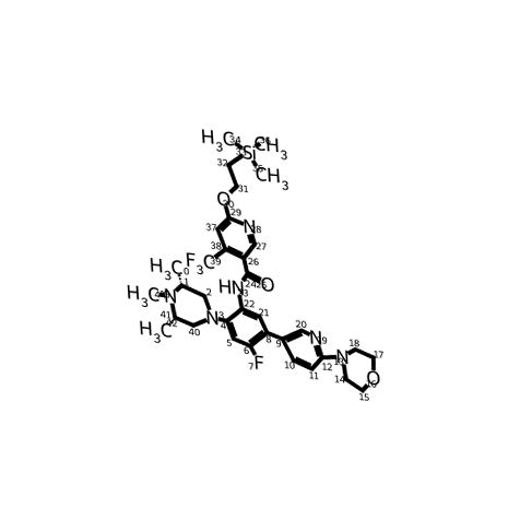 C[C@@H]1CN(c2cc(F)c(-c3ccc(N4CCOCC4)nc3)cc2NC(=O)c2cnc(OCC[Si](C)(C)C)cc2C(F)(F)F)C[C@H](C)N1C